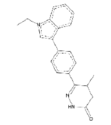 CCn1cc(-c2ccc(C3=NNC(=O)CC3C)cc2)c2ccccc21